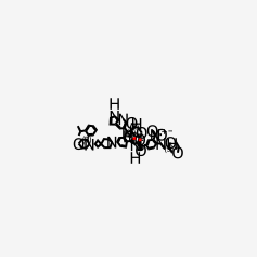 CC(C)c1ccccc1[C@@H]1COCCN1C1CC2(CCN(c3ccc(C(=O)NS(=O)(=O)c4ccc(NC[C@H]5COCCO5)c([N+](=O)[O-])c4)c(N4c5cc6cc[nH]c6nc5O[C@H]5COCC[C@@H]54)c3)CC2)C1